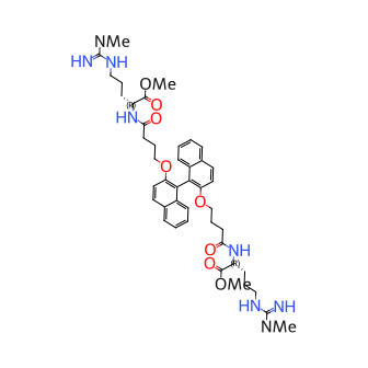 CNC(=N)NCCC[C@@H](NC(=O)CCCOc1ccc2ccccc2c1-c1c(OCCCC(=O)N[C@H](CCCNC(=N)NC)C(=O)OC)ccc2ccccc12)C(=O)OC